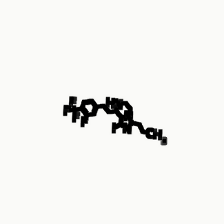 CCCc1nc(I)c2n1CCNC2CCc1ccc(C(F)(F)F)c(F)c1